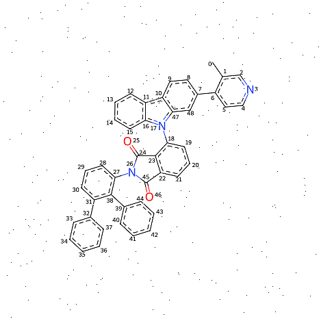 Cc1cnccc1-c1ccc2c3ccccc3n(-c3cccc4c3C(=O)N(c3cccc(-c5ccccc5)c3-c3ccccc3)C4=O)c2c1